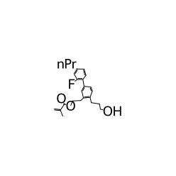 C=C(C)C(=O)OCCc1cc(-c2ccc(CCC)cc2F)ccc1CCCO